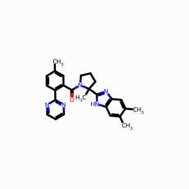 Cc1ccc(-c2ncccn2)c(C(=O)N2CCCC2(C)c2nc3cc(C)c(C)cc3[nH]2)c1